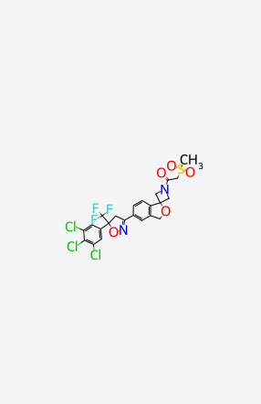 CS(=O)(=O)CC(=O)N1CC2(C1)OCc1cc(C3=NOC(c4cc(Cl)c(Cl)c(Cl)c4)(C(F)(F)F)C3)ccc12